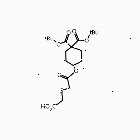 CC(C)(C)OC(=O)C1(C(=O)OC(C)(C)C)CCC(OC(=O)CSCC(=O)O)CC1